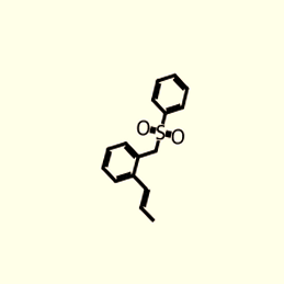 CC=Cc1ccccc1CS(=O)(=O)c1ccccc1